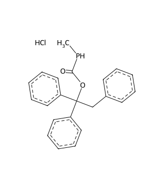 CPC(=O)OC(Cc1ccccc1)(c1ccccc1)c1ccccc1.Cl